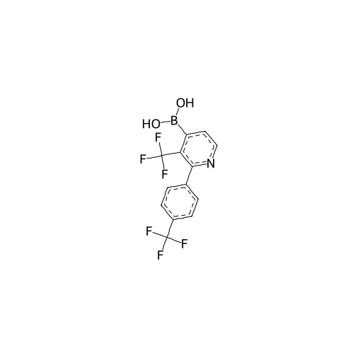 OB(O)c1ccnc(-c2ccc(C(F)(F)F)cc2)c1C(F)(F)F